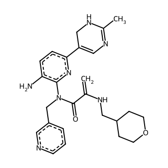 C=C(NCC1CCOCC1)C(=O)N(Cc1cccnc1)c1nc(C2=CN=C(C)NC2)ccc1N